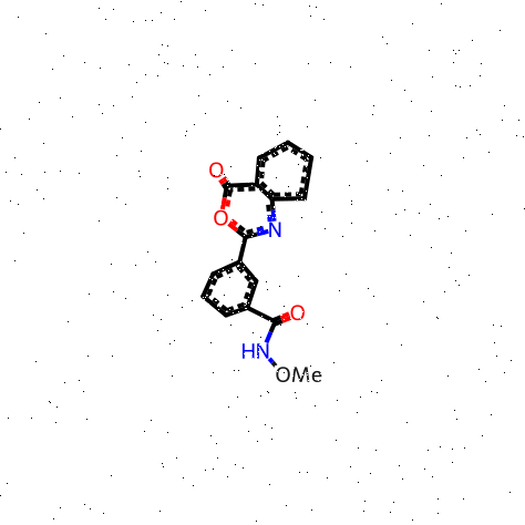 CONC(=O)c1cccc(-c2nc3ccccc3c(=O)o2)c1